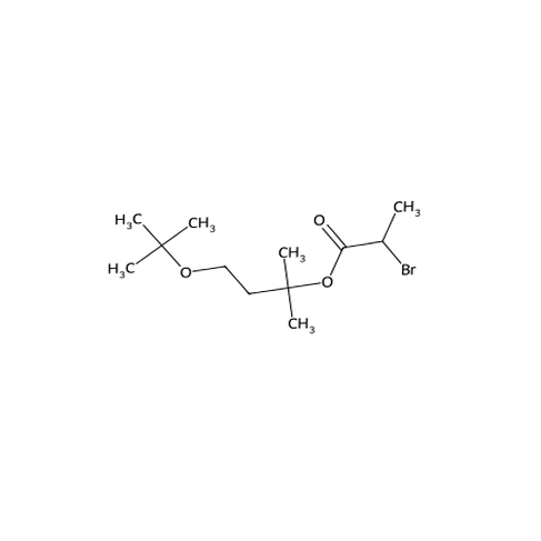 CC(Br)C(=O)OC(C)(C)CCOC(C)(C)C